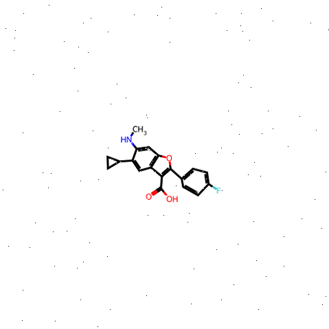 CNc1cc2oc(-c3ccc(F)cc3)c(C(=O)O)c2cc1C1CC1